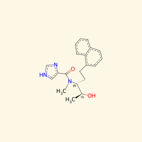 C[C@H](O)[C@@H](CCc1cccc2ccccc12)N(C)C(=O)c1c[nH]cn1